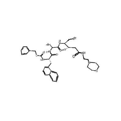 CCCC[C@H](NC(=O)[C@H](Cc1cccc2ccccc12)NC(=O)OCc1ccccc1)C(=O)N[C@@H](CC(C)C)[C@@H](O)CC(=O)NCCN1CCOCC1